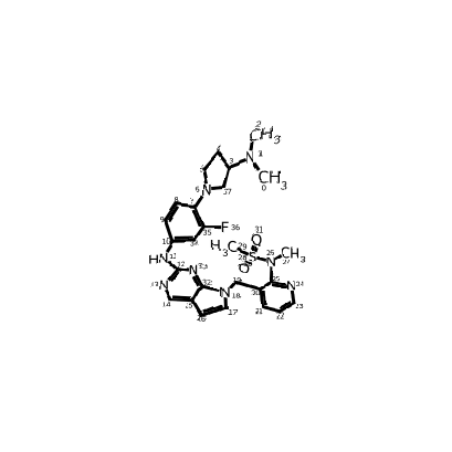 CN(C)C1CCN(c2ccc(Nc3ncc4ccn(Cc5cccnc5N(C)S(C)(=O)=O)c4n3)cc2F)C1